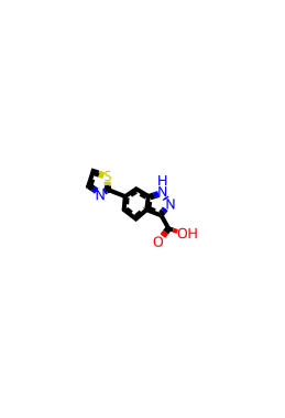 O=C(O)c1n[nH]c2cc(-c3nccs3)ccc12